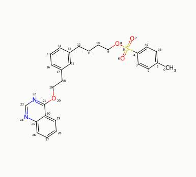 Cc1ccc(S(=O)(=O)OCCCCc2cccc(CCOc3ncnc4ccccc34)c2)cc1